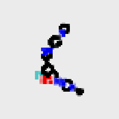 Oc1c(F)cc(-c2cnn(-c3ccc(N4CCCC4)cc3)c2)cc1C=NN1CCN(C2CC2)CC1